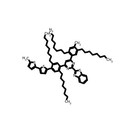 CCCCCCCCc1cc(-c2cc(-c3cc(CCCCCCCC)c(-c4ccc(-c5ccc(C)s5)s4)cc3CCCCCCCC)nc(-c3nc4ccccc4s3)n2)c(CCCCCCCC)cc1C